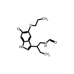 CCCOc1cc2c(C(CC)CNC=O)c[nH]c2cc1Cl